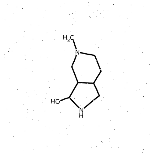 CN1CCC2CNC(O)C2C1